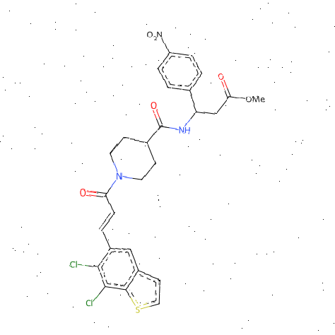 COC(=O)CC(NC(=O)C1CCN(C(=O)C=Cc2cc3ccsc3c(Cl)c2Cl)CC1)c1ccc([N+](=O)[O-])cc1